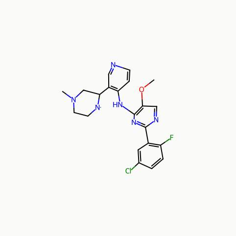 COc1cnc(-c2cc(Cl)ccc2F)nc1Nc1ccncc1C1CN(C)CC[N]1